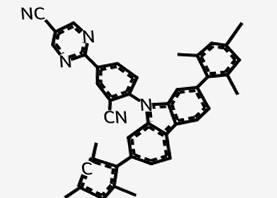 Cc1cc(C)c(-c2ccc3c4ccc(-c5c(C)cc(C)cc5C)cc4n(-c4ccc(-c5ncc(C#N)cn5)cc4C#N)c3c2)c(C)c1